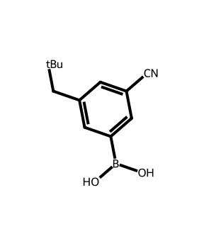 CC(C)(C)Cc1cc(C#N)cc(B(O)O)c1